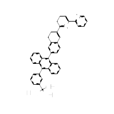 CC(C)(C)c1cccc(-c2c3ccccc3c(-c3ccc4c(c3)CCC(C3=NC(c5ccccn5)=CCC3)=C4)c3ccccc23)c1